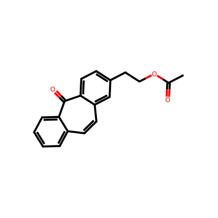 CC(=O)OCCc1ccc2c(=O)c3ccccc3ccc2c1